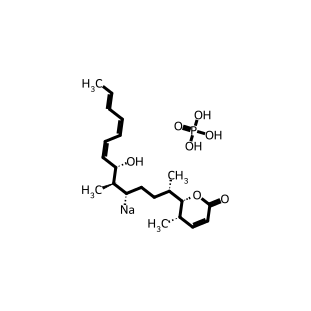 C/C=C/C=C\C=C/[C@H](O)[C@H](C)[C@@H]([Na])CC[C@H](C)[C@@H]1OC(=O)C=C[C@@H]1C.O=P(O)(O)O